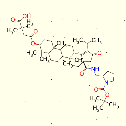 CC(C)C1=C2C3CCC4[C@@]5(C)CC[C@H](OC(=O)CC(C)(C)C(=O)O)C(C)(C)C5CC[C@@]4(C)[C@]3(C)CC[C@@]2(C(=O)NC[C@@H]2CCCN2C(=O)OC(C)(C)C)CC1=O